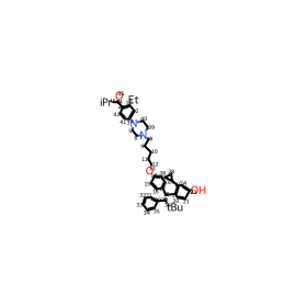 CCc1cc(N2CCN(CCCCCOc3ccc([C@H](c4ccc(O)cc4C4CC4)C(c4ccccc4)C(C)(C)C)cc3)CC2)ccc1C(=O)C(C)C